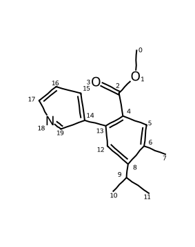 COC(=O)c1cc(C)c(C(C)C)cc1-c1cccnc1